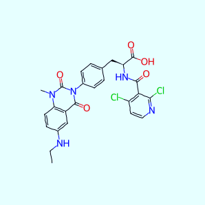 CCNc1ccc2c(c1)c(=O)n(-c1ccc(C[C@H](NC(=O)c3c(Cl)ccnc3Cl)C(=O)O)cc1)c(=O)n2C